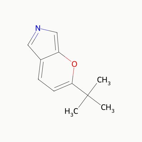 CC(C)(C)c1ccc2cncc-2o1